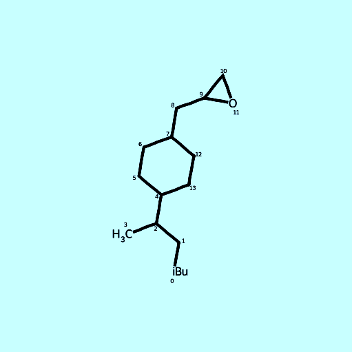 CCC(C)CC(C)C1CCC(CC2CO2)CC1